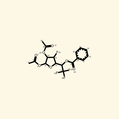 CC(=O)OC1OC(C(OC(=O)c2ccccc2)C(F)(F)F)C(F)C1OC(C)=O